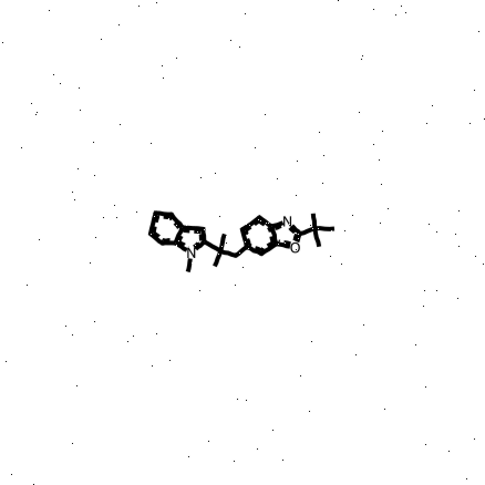 Cn1c(C(C)(C)Cc2ccc3nc(C(C)(C)C)oc3c2)cc2ccccc21